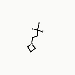 FC(F)(F)CCN1C[CH]C1